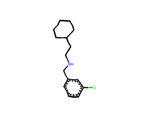 Clc1cccc(CNCCC2CCCCC2)c1